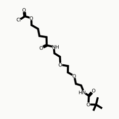 CC(C)(C)OC(=O)NCCOCCOCCNC(=O)CCCCOC(=O)Cl